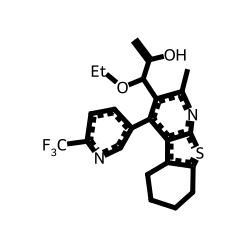 C=C(O)C(OCC)c1c(C)nc2sc3c(c2c1-c1ccc(C(F)(F)F)nc1)CCCC3